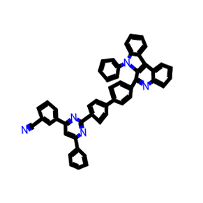 N#Cc1cccc(-c2cc(-c3ccccc3)nc(-c3ccc(-c4ccc(-c5nc6ccccc6c6c7ccccc7n(-c7ccccc7)c56)cc4)cc3)n2)c1